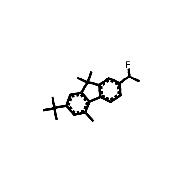 Cc1cc(C(C)(C)C)cc2c1-c1ccc(C(C)F)cc1C2(C)C